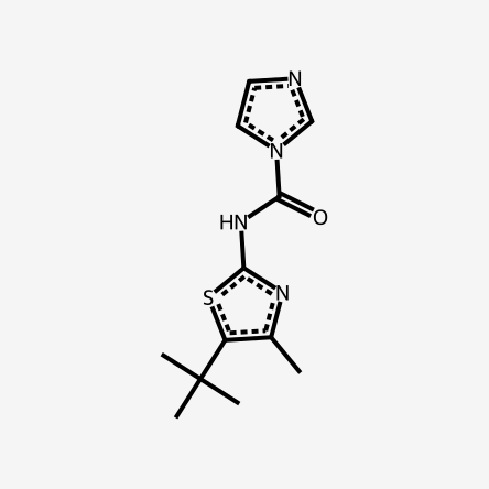 Cc1nc(NC(=O)n2ccnc2)sc1C(C)(C)C